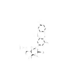 CSc1ccc(Oc2c(Cl)cc(-n3nc(C(=O)O)c(=O)[nH]c3=O)cc2Cl)cc1